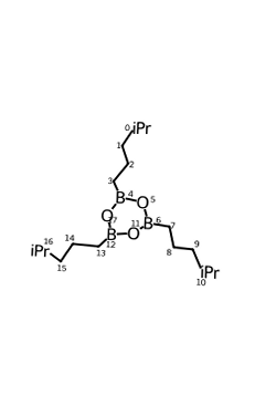 CC(C)CCCB1OB(CCCC(C)C)OB(CCCC(C)C)O1